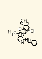 COc1cccc(Cn2c(C)c(C)c3ccnc(NCc4ccccc4)c32)c1.Cl